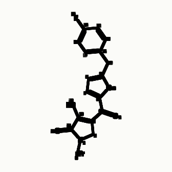 CCCN1CC(C(=O)c2ccc(Cc3ccc(F)cc3)o2)=C(O)C1=O